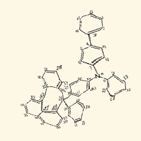 c1ccc(-c2ccc(N(c3ccccc3)c3ccc(C4(c5ccccc5)c5ccccc5-c5cccc6cccc4c56)cc3)cc2)cc1